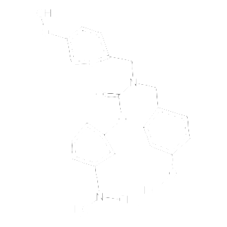 COc1ccc(CN(Cc2ccc(OC)cc2)C(=O)Oc2cccc(N(C)C)c2)cc1